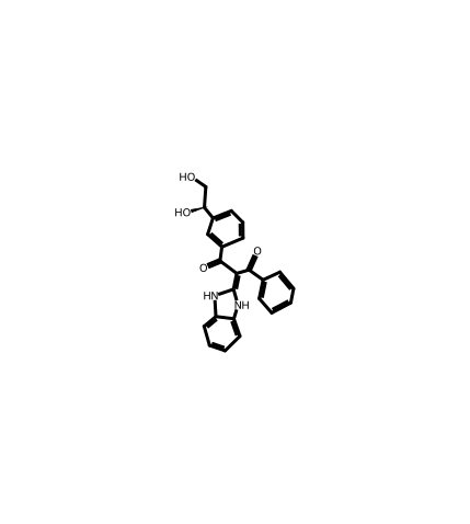 O=C(C(C(=O)c1cccc([C@@H](O)CO)c1)=C1Nc2ccccc2N1)c1ccccc1